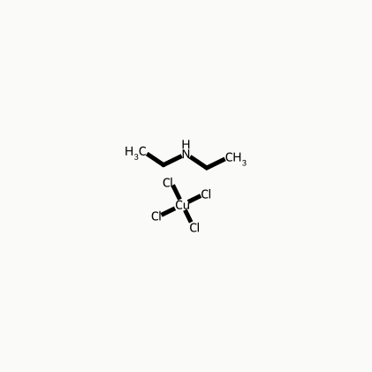 CCNCC.[Cl][Cu]([Cl])([Cl])[Cl]